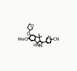 COc1cc2c(cc1OC1CCOC1)C(C)(C)c1c(-c3ccc(C#N)nc3)n[nH]c1-2